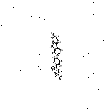 C=CC(=O)OC(OC)c1ccc(-c2ccc3c(c2)Cc2cc(F)ccc2-3)cc1